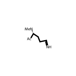 CN[C@H](CCC=N)C(C)=O